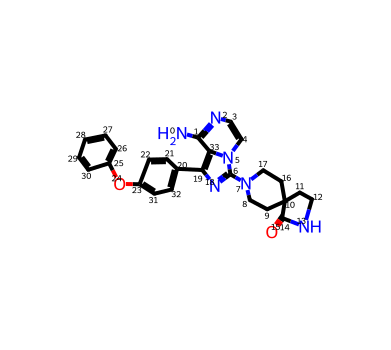 Nc1nccn2c(N3CCC4(CCNC4=O)CC3)nc(-c3ccc(Oc4ccccc4)cc3)c12